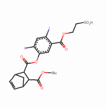 CC(C)(C)OC(=O)C1C2C=CC(C2)C1C(=O)Oc1cc(C(=O)OCCS(=O)(=O)O)c(I)cc1I